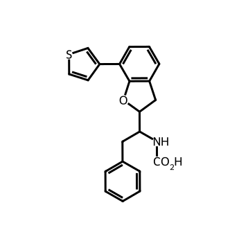 O=C(O)NC(Cc1ccccc1)C1Cc2cccc(-c3ccsc3)c2O1